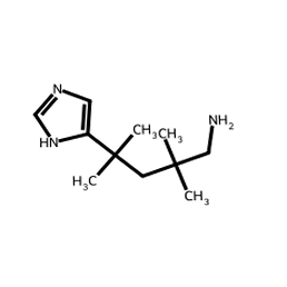 CC(C)(CN)CC(C)(C)c1cnc[nH]1